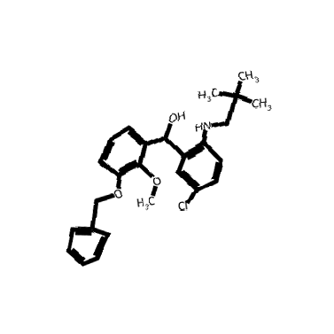 COc1c(OCc2ccccc2)cccc1C(O)c1cc(Cl)ccc1NCC(C)(C)C